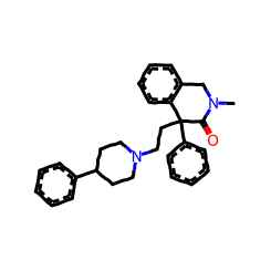 CN1Cc2ccccc2C(CCN2CCC(c3ccccc3)CC2)(c2ccccc2)C1=O